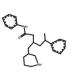 CC(CC(CC(=O)Nc1ccccc1)CC1CCCNC1)c1ccccc1